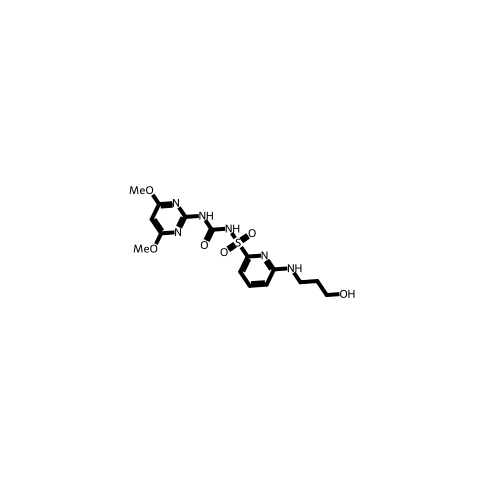 COc1cc(OC)nc(NC(=O)NS(=O)(=O)c2cccc(NCCCO)n2)n1